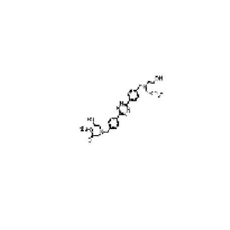 CC(C)(C)OC(=O)CN(CCO)Cc1ccc(-c2nnc(-c3ccc(CN(CCO)CC(=O)O)cc3)nn2)cc1